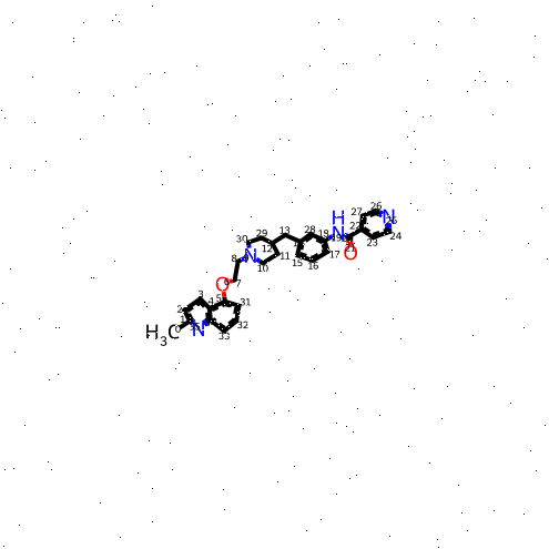 Cc1ccc2c(OCCN3CCC(Cc4cccc(NC(=O)c5ccncc5)c4)CC3)cccc2n1